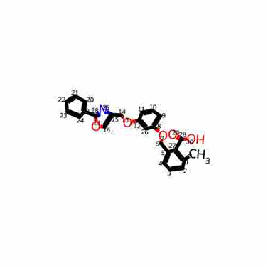 Cc1cccc(COc2cccc(OCc3coc(-c4ccccc4)n3)c2)c1C(=O)O